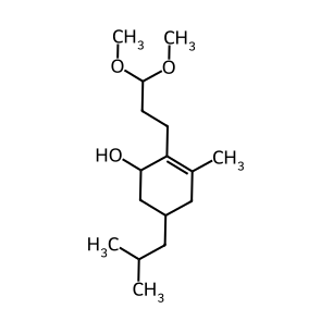 COC(CCC1=C(C)CC(CC(C)C)CC1O)OC